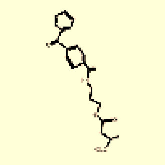 CC(CC(=O)NCCCNC(=O)c1ccc(C(=O)c2ccccc2)cc1)C(=O)O